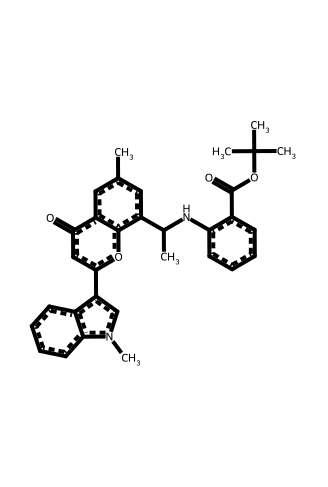 Cc1cc(C(C)Nc2ccccc2C(=O)OC(C)(C)C)c2oc(-c3cn(C)c4ccccc34)cc(=O)c2c1